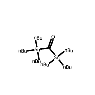 CCC[CH2][Sn]([CH2]CCC)([CH2]CCC)[C](=O)[Sn]([CH2]CCC)([CH2]CCC)[CH2]CCC